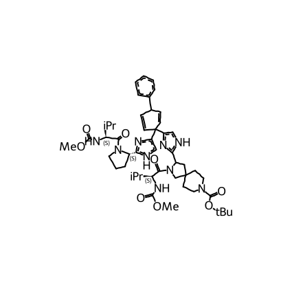 COC(=O)N[C@H](C(=O)N1CC2(CCN(C(=O)OC(C)(C)C)CC2)CC1c1nc(C2(c3c[nH]c([C@@H]4CCCN4C(=O)[C@@H](NC(=O)OC)C(C)C)n3)C=CC(c3ccccc3)C=C2)c[nH]1)C(C)C